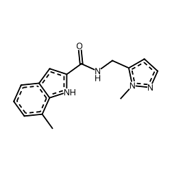 Cc1cccc2cc(C(=O)NCc3ccnn3C)[nH]c12